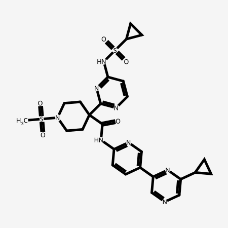 CS(=O)(=O)N1CCC(C(=O)Nc2ccc(-c3cncc(C4CC4)n3)cn2)(c2nccc(NS(=O)(=O)C3CC3)n2)CC1